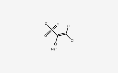 O=S(=O)([O-])C(Cl)=C(Cl)Cl.[Na+]